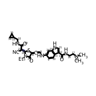 CCn1c(=O)c(=C=CNc2ccc3c(C(=O)NCCN(C)C)c[nH]c3c2)s/c1=C(/C#N)C(=O)NCC1CC1